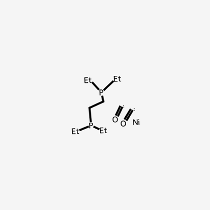 CCP(CC)CCP(CC)CC.[C]=O.[C]=O.[Ni]